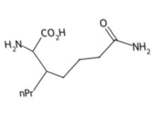 CCCC(CCCC(N)=O)C(N)C(=O)O